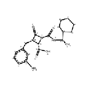 C[C@@H](NC(=O)N1C(=O)[C@H](Cc2cccc(N)c2)[C@H]1C(=O)O)C1CCCCC1